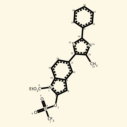 CCOC(=O)n1c(OS(=O)(=O)C(F)(F)F)cc2cc(-c3sc(-c4ccccc4)nc3C)ccc21